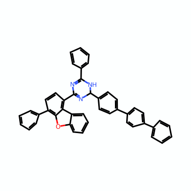 c1ccc(C2=NC(c3ccc(-c4ccccc4)c4oc5ccccc5c34)=NC(c3ccc(-c4ccc(-c5ccccc5)cc4)cc3)N2)cc1